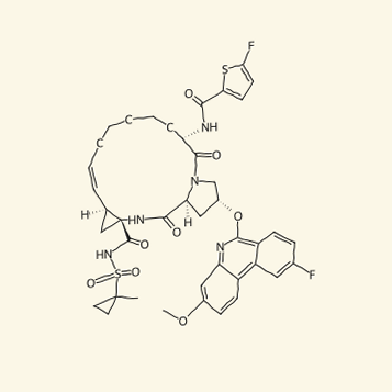 COc1ccc2c(c1)nc(O[C@@H]1C[C@H]3C(=O)N[C@]4(C(=O)NS(=O)(=O)C5(C)CC5)C[C@H]4/C=C\CCCCC[C@H](NC(=O)c4ccc(F)s4)C(=O)N3C1)c1ccc(F)cc12